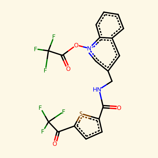 O=C(NCc1cc2ccccc2[n+](OC(=O)C(F)(F)F)c1)c1ccc(C(=O)C(F)(F)F)s1